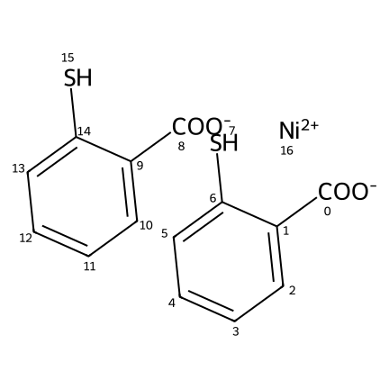 O=C([O-])c1ccccc1S.O=C([O-])c1ccccc1S.[Ni+2]